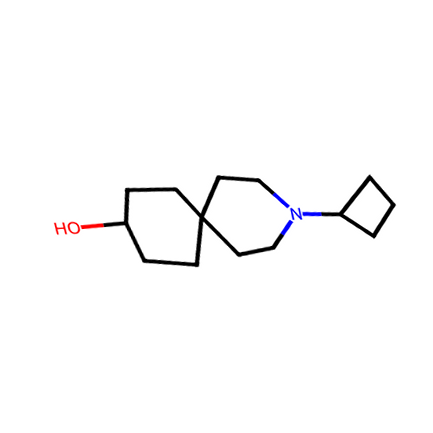 OC1CCC2(CC1)CCN(C1CCC1)CC2